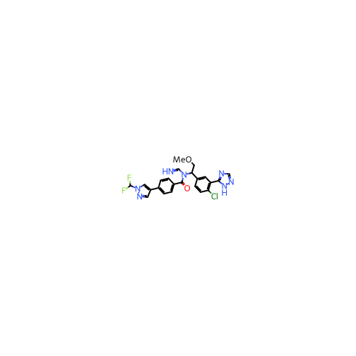 COCC(c1ccc(Cl)c(-c2ncn[nH]2)c1)N(C=N)C(=O)c1ccc(-c2cnn(C(F)F)c2)cc1